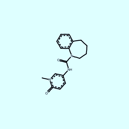 Cn1cc(NC(=O)N2CCCCc3ccccc32)ccc1=O